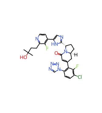 CC(C)(O)CCc1nccc(-c2cnc([C@@H]3CC[C@H]4CC(c5c(-n6cnnn6)ccc(Cl)c5F)=CC(=O)N43)[nH]2)c1F